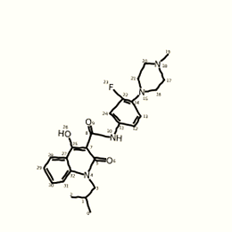 CC(C)Cn1c(=O)c(C(=O)Nc2ccc(N3CCN(C)CC3)c(F)c2)c(O)c2ccccc21